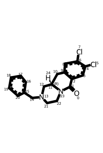 O=C1c2cc(Cl)c(Cl)cc2C[C@@H]2CN(Cc3ccccc3)CCN12